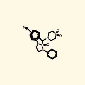 N#Cc1ccc(C(N2CCS(=O)(=O)CC2)P2(=O)N(c3ccccc3)CCN2c2ccccc2)cc1